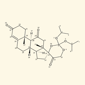 CC(C)OC1(OC(C)C)OCC(=O)[C@]2(CC[C@H]3[C@@H]4CCC5=CC(=O)CC[C@]5(C)[C@H]4C(=O)C[C@@]32C)O1